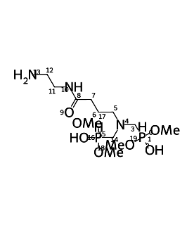 CO[PH](O)(CN(CCCC(=O)NCCN)C[PH](O)(OC)OC)OC